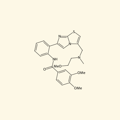 COCCN(C)Cc1csc2nc(-c3ccccc3NC(=O)c3ccc(OC)c(OC)c3)cn12